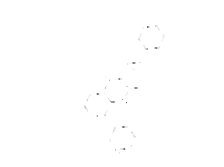 Cc1ccc(/C=C/c2nc3cc(O)ccc3n(Cc3ccncc3)c2=O)cc1